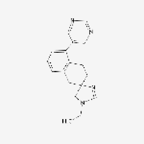 CCN1C=NC2(CCc3c(cccc3-c3cncnc3)C2)C1